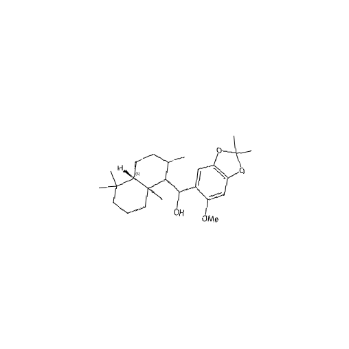 COc1cc2c(cc1C(O)C1C(C)CC[C@H]3C(C)(C)CCCC13C)OC(C)(C)O2